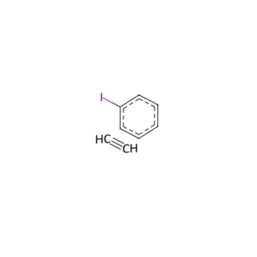 C#C.Ic1ccccc1